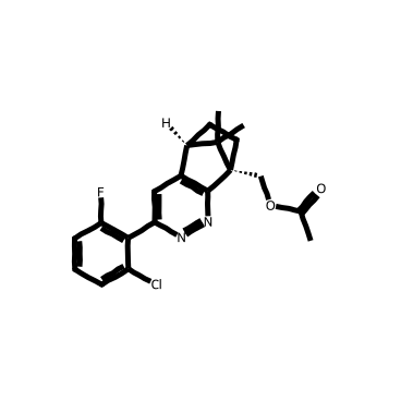 CC(=O)OC[C@]12CC[C@H](c3cc(-c4c(F)cccc4Cl)nnc31)C2(C)C